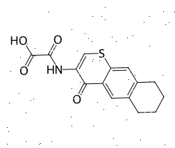 O=C(O)C(=O)Nc1csc2cc3c(cc2c1=O)CCCC3